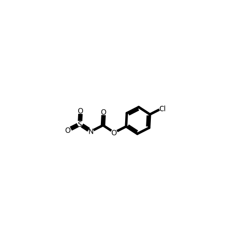 O=C(N=S(=O)=O)Oc1ccc(Cl)cc1